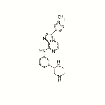 Cn1cc(-c2cnc3c(Nc4cccc(C5CNCCN5)c4)nccn23)cn1